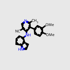 COc1ccc(-c2c(C)ncc(C#N)c2Nc2cccc3[nH]ccc23)cc1OC